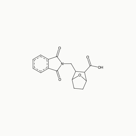 O=C(O)C1C2CCC(O2)C1CN1C(=O)c2ccccc2C1=O